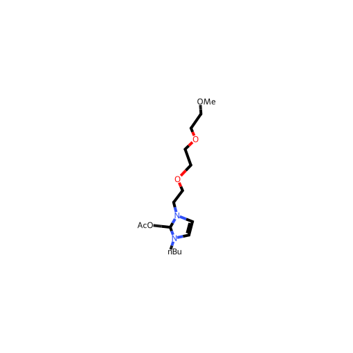 CCCCN1C=CN(CCOCCOCCOC)C1OC(C)=O